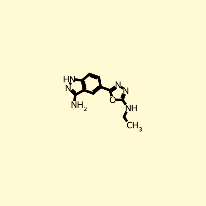 CCNc1nnc(-c2ccc3[nH]nc(N)c3c2)o1